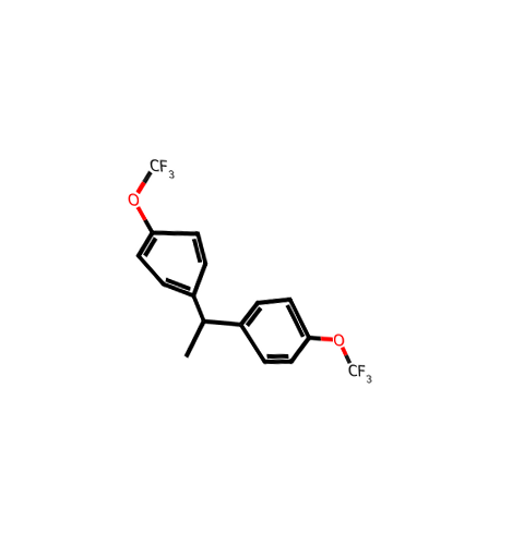 CC(c1ccc(OC(F)(F)F)cc1)c1ccc(OC(F)(F)F)cc1